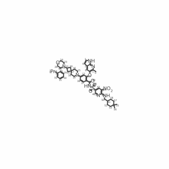 Cc1nc2[nH]ccc2cc1Oc1cc(N2CCC3(CC2)CC(N2CCOC[C@H]2c2ccccc2C(C)C)C3)ccc1C(=O)NS(=O)(=O)c1cnc(NCC2CCC(C)(C)CC2)c([N+](=O)[O-])c1